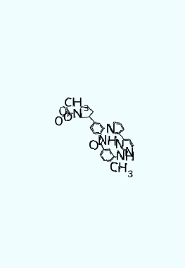 Cc1ccc(C(=O)Nc2ccc(C3CCCN(c4oc(=O)oc4C)C3)cc2)cc1Nc1nccc(-c2cccnc2)n1